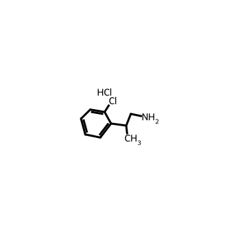 CC(CN)c1ccccc1Cl.Cl